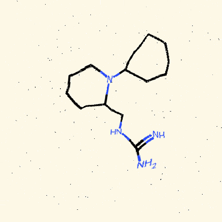 N=C(N)NCC1CCCCN1C1CCCCC1